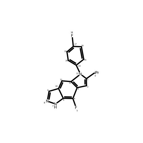 CC(C)c1cc2c(F)c3[nH]ncc3cc2n1-c1ccc(F)cc1